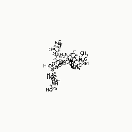 C=CCN(CC=C)C(=O)C(Cl)Cl.CCOC(=O)C(C)OC(=O)c1cc(Oc2ccc(C(F)(F)F)cc2Cl)ccc1[N+](=O)[O-].CCc1cccc(CC)c1N(COC)C(=O)CCl.O=C(O)CNCP(=O)(O)O